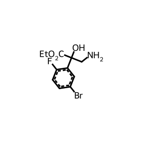 CCOC(=O)C(O)(CN)c1cc(Br)ccc1F